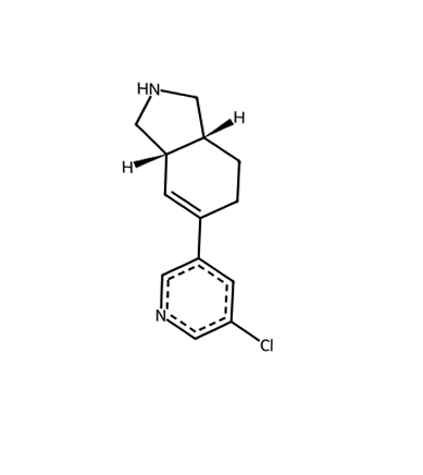 Clc1cncc(C2=C[C@@H]3CNC[C@@H]3CC2)c1